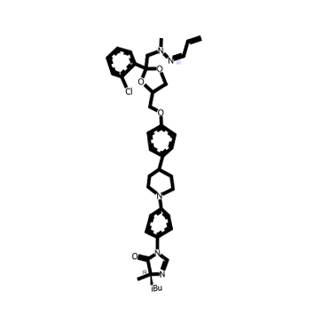 C=C/C=N\N(C)CC1(c2ccccc2Cl)OCC(COc2ccc(C3CCN(c4ccc(N5C=N[C@@](C)(C(C)CC)C5=O)cc4)CC3)cc2)O1